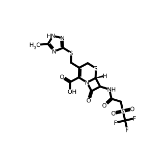 Cc1nc(SCC2=C(C(=O)O)N3C(=O)C(NC(=O)CS(=O)(=O)C(F)(F)F)[C@H]3SC2)n[nH]1